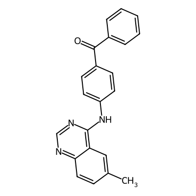 Cc1ccc2ncnc(Nc3ccc(C(=O)c4ccccc4)cc3)c2c1